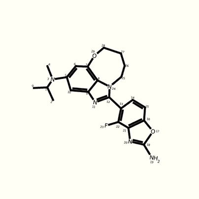 CC(C)N(C)c1cc2c3c(c1)nc(-c1ccc4oc(N)nc4c1F)n3CCCCO2